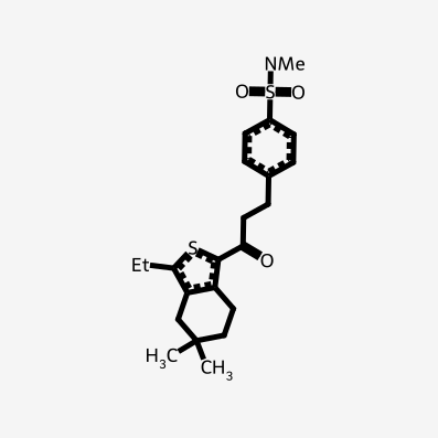 CCc1sc(C(=O)CCc2ccc(S(=O)(=O)NC)cc2)c2c1CC(C)(C)CC2